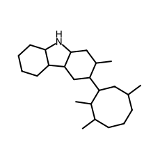 CC1CCCC(C)C(C)C(C2CC3C(CC2C)NC2CCCCC23)C1